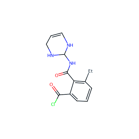 CCc1cccc(C(=O)Cl)c1C(=O)NC1NC=CCN1